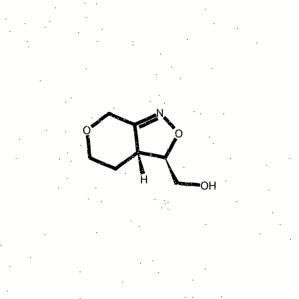 OC[C@@H]1ON=C2COCC[C@H]21